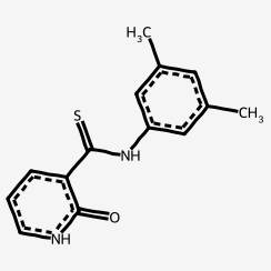 Cc1cc(C)cc(NC(=S)c2ccc[nH]c2=O)c1